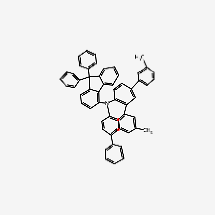 Cc1cccc(-c2ccc(N(c3ccc(-c4ccccc4)cc3)c3cccc4c3-c3ccccc3C4(c3ccccc3)c3ccccc3)c(-c3cccc(C)c3)c2)c1